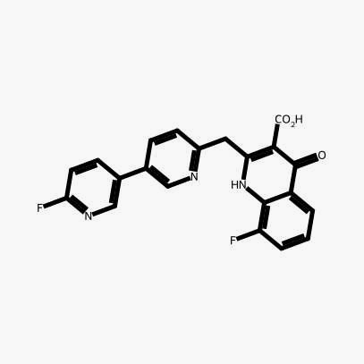 O=C(O)c1c(Cc2ccc(-c3ccc(F)nc3)cn2)[nH]c2c(F)cccc2c1=O